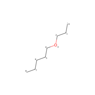 [CH2]CCOCCCCC